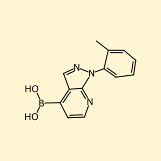 Cc1ccccc1-n1ncc2c(B(O)O)ccnc21